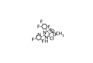 COC(=O)C1=C(Cl)NC(c2ncc(F)cc2F)=NC1(c1ccc(F)c(F)c1)C(F)F